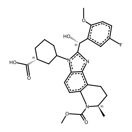 COC(=O)N1c2ccc3c(nc([C@H](O)c4cc(F)ccc4OC)n3C3CCC[C@@H](C(=O)O)C3)c2CC[C@H]1C